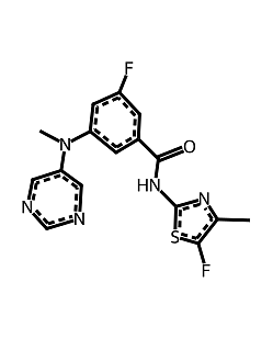 Cc1nc(NC(=O)c2cc(F)cc(N(C)c3cncnc3)c2)sc1F